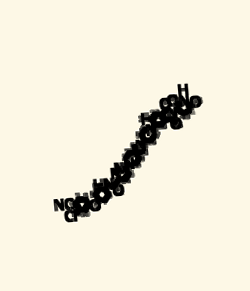 N#Cc1ccc(O[C@H]2CC[C@H](NC(=O)c3ccc(N4CCC5(CC4)CN(C4CCN(c6cc7c(cc6F)C(=O)N(C6CCC(=O)NC6=O)C7=O)CC4)C5)nn3)CC2)cc1Cl